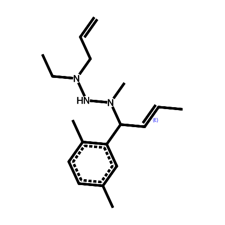 C=CCN(CC)NN(C)C(/C=C/C)c1cc(C)ccc1C